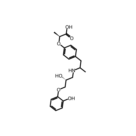 CC(Cc1ccc(O[C@@H](C)C(=O)O)cc1)NC[C@@H](O)COc1ccccc1O